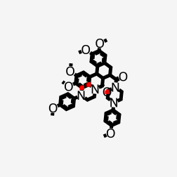 COc1ccc(N2CCN(C(=O)C3Cc4cc(OC)c(OC)cc4C(c4ccc(OC)c(OC)c4)C3C(=O)N3CCN(c4ccc(OC)cc4)CC3)CC2)cc1